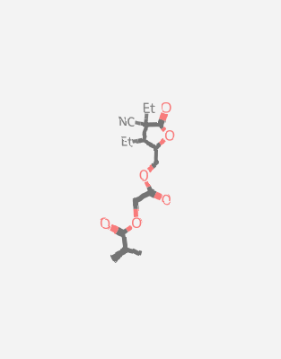 C=C(C)C(=O)OCC(=O)OCC1OC(=O)C(C#N)(CC)C1CC